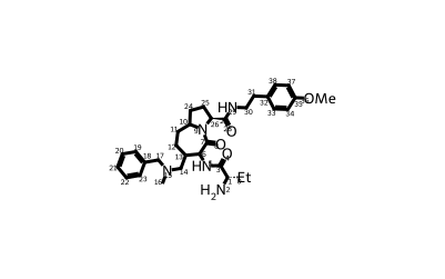 CC[C@H](N)C(=O)NC1C(=O)N2C(CCC1CN(C)Cc1ccccc1)CC[C@H]2C(=O)NCCc1ccc(OC)cc1